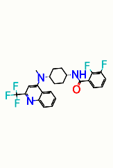 CN(c1cc(C(F)(F)F)nc2ccccc12)[C@H]1CC[C@@H](NC(=O)c2cccc(F)c2F)CC1